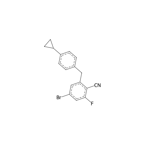 N#Cc1c(F)cc(Br)cc1Cc1ccc(C2CC2)cc1